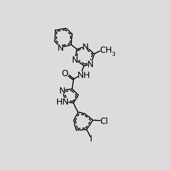 Cc1nc(NC(=O)c2cc(-c3ccc(I)c(Cl)c3)[nH]n2)nc(-c2ccccn2)n1